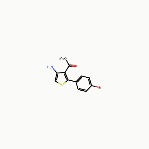 COC(=O)c1c(N)csc1-c1ccc(Br)cc1